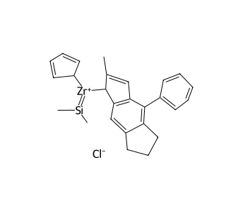 CC1=Cc2c(cc3c(c2-c2ccccc2)CCC3)[CH]1[Zr+]([CH]1C=CC=C1)=[Si](C)C.[Cl-]